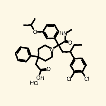 CCC(CC(C(=O)NC)(c1cccc(OC(C)C)c1)N1CCC(CC(=O)O)(c2ccccc2)CC1)c1ccc(Cl)c(Cl)c1.Cl